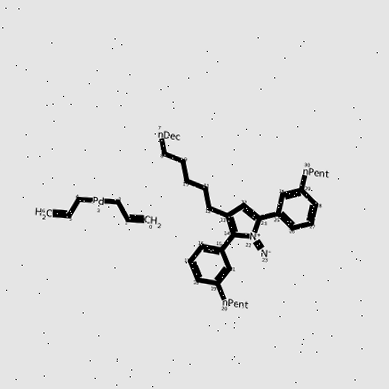 C=C[CH2][Pd][CH2]C=C.CCCCCCCCCCCCCCCC1=C(c2cccc(CCCCC)c2)[N+](=[N-])C(c2cccc(CCCCC)c2)=C1